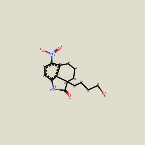 O=C1Nc2ccc([N+](=O)[O-])c3c2C1(CCCCBr)CCC3